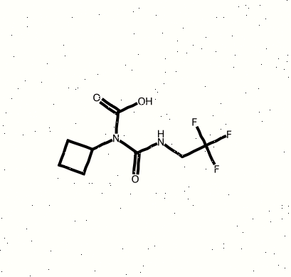 O=C(O)N(C(=O)NCC(F)(F)F)C1CCC1